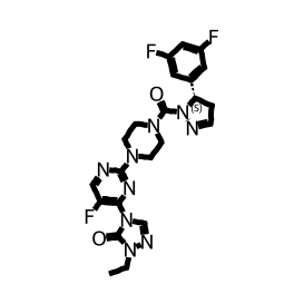 CCn1ncn(-c2nc(N3CCN(C(=O)N4N=CC[C@H]4c4cc(F)cc(F)c4)CC3)ncc2F)c1=O